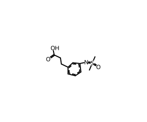 CS(C)(=O)=Nc1cccc(CCC(=O)O)c1